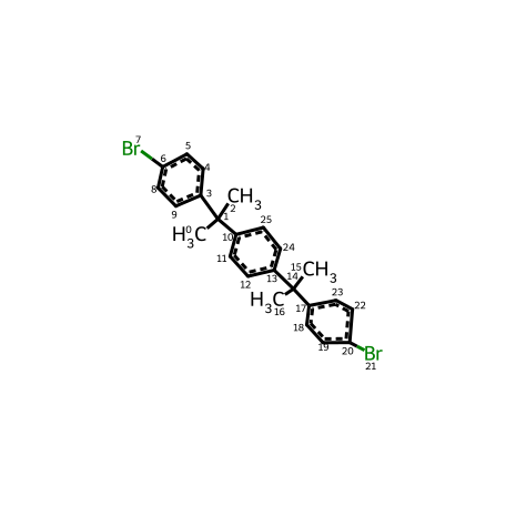 CC(C)(c1ccc(Br)cc1)c1ccc(C(C)(C)c2ccc(Br)cc2)cc1